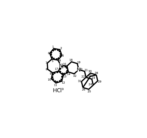 Cl.c1ccc2c(c1)CCc1cccc3c4c(n-2c13)CCN(CC12CC3CC(CC(C3)C1)C2)C4